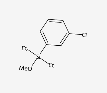 CC[Si](CC)(OC)c1cccc(Cl)c1